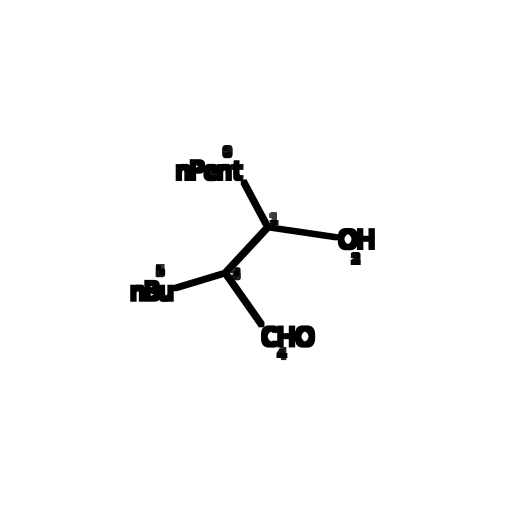 CCCCCC(O)C(C=O)CCCC